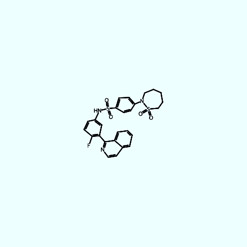 O=S(=O)(Nc1ccc(F)c(-c2nccc3ccccc23)c1)c1ccc(N2CCCCCS2(=O)=O)cc1